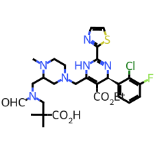 CCOC(=O)C1=C(CN2CCN(C)C(CN(C=O)CC(C)(C)C(=O)O)C2)NC(c2nccs2)=N[C@H]1c1cccc(F)c1Cl